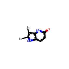 CCc1[nH]c2ccc(=O)[nH]c2c1CC